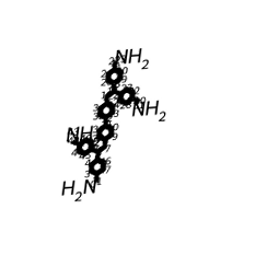 NCc1ccc(C(=Cc2ccc(-c3ccc(C=C(c4ccc(CN)cc4)c4ccc(CN)cc4)cc3)cc2)c2ccc(CN)cc2)cc1